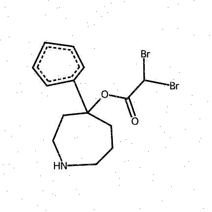 O=C(OC1(c2ccccc2)CCCNCC1)C(Br)Br